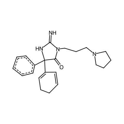 N=C1NC(C2=CCCC=C2)(c2ccccc2)C(=O)N1CCCN1CCCC1